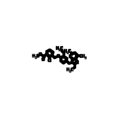 CCCc1cc(Cn2c(CC)nc3c(C)cc(C)nc32)ccc1OCc1cccc(C(=O)OC)c1Cl